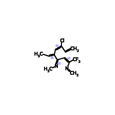 C=C\C(Cl)=C/C(=C\C)C(/C=C(\N=C)C(F)(F)F)=N\C